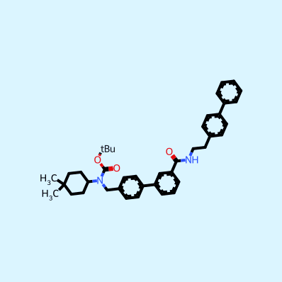 CC1(C)CCC(N(Cc2ccc(-c3cccc(C(=O)NCCc4ccc(-c5ccccc5)cc4)c3)cc2)C(=O)OC(C)(C)C)CC1